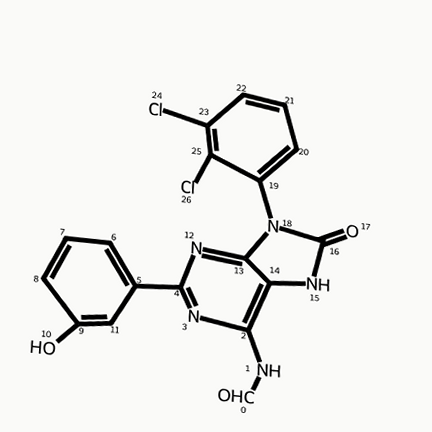 O=CNc1nc(-c2cccc(O)c2)nc2c1[nH]c(=O)n2-c1cccc(Cl)c1Cl